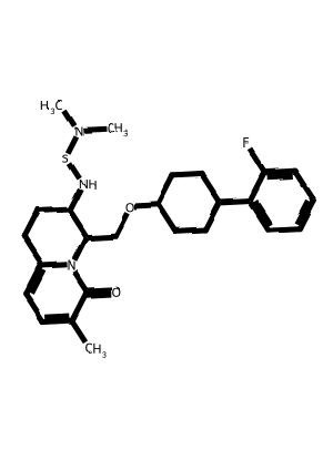 Cc1ccc2n(c1=O)C(COC1CCC(c3ccccc3F)CC1)C(NSN(C)C)CC2